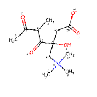 CC(=O)C(C)C(=O)C(O)(CC(=O)[O-])C[N+](C)(C)C